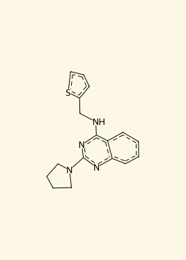 c1csc(CNc2nc(N3CCCC3)nc3ccccc23)c1